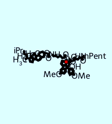 CCCCCNC(=O)CCC(=O)OC1CN(C(=O)CCCCCNC(=O)OC2CC[C@@]3(C)C(=CCC4C3CC[C@@]3(C)C4CC[C@@H]3C(C)CCCC(C)C)C2)CC1C(O)C(c1ccccc1)(c1ccc(OC)cc1)c1ccc(OC)cc1